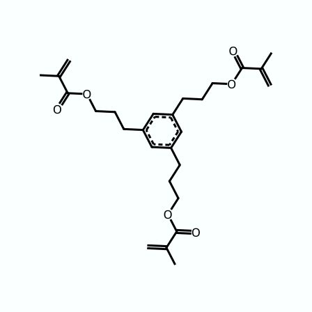 C=C(C)C(=O)OCCCc1cc(CCCOC(=O)C(=C)C)cc(CCCOC(=O)C(=C)C)c1